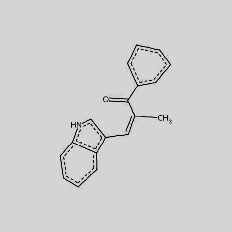 CC(=Cc1c[nH]c2ccccc12)C(=O)c1ccccc1